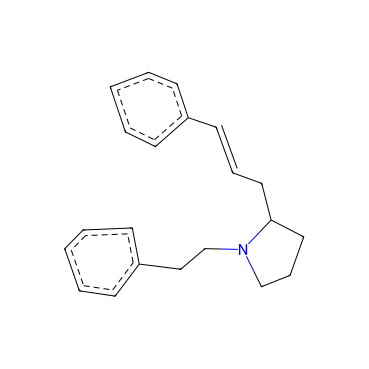 C(=Cc1ccccc1)CC1CCCN1CCc1ccccc1